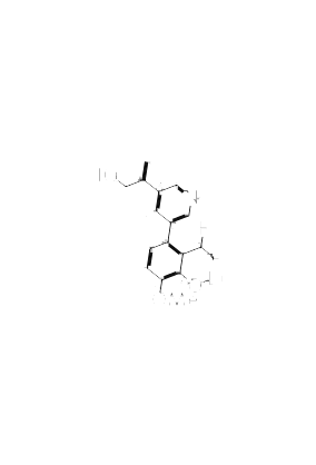 C=C(CO)c1cncc(-c2ccc(OC)c(OCC)c2C(F)F)c1